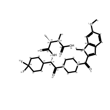 COc1ccc2cc(C(=O)N3CCN(C(=O)[C@@H](NC(=O)[C@H](C)N(C)C(=O)O)C4CCC(F)(F)CC4)CC3)n(C)c2c1